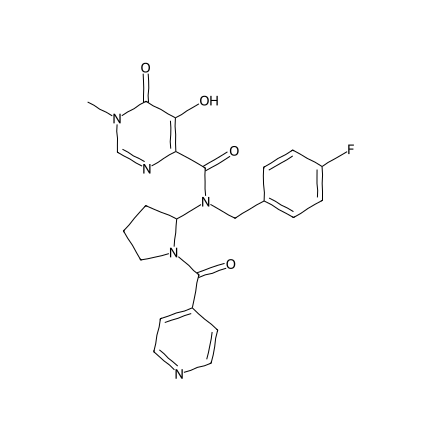 Cn1cnc(C(=O)N(Cc2ccc(F)cc2)C2CCCN2C(=O)c2ccncc2)c(O)c1=O